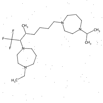 CCN1CCCN(C(C(C)CCCCN2CCCN(C(C)C)CC2)C(F)(F)F)CC1